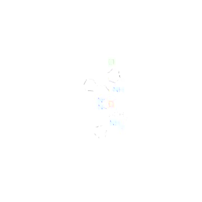 C[C@@](N)(Cc1ccccc1)c1nnc(-c2[nH]c3ccc(Cl)cc3c2-c2ccccc2)o1